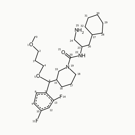 COCCCOC(c1ccc(F)cc1F)C1CCCN(C(=O)NC(CN)CC2CCCCC2)C1